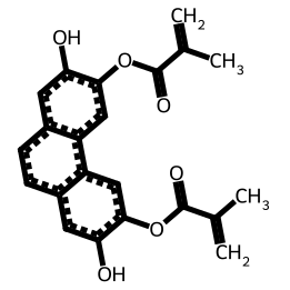 C=C(C)C(=O)Oc1cc2c(ccc3cc(O)c(OC(=O)C(=C)C)cc32)cc1O